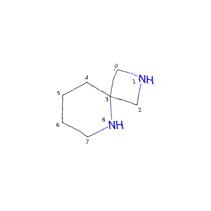 [CH]1NCC12CCCCN2